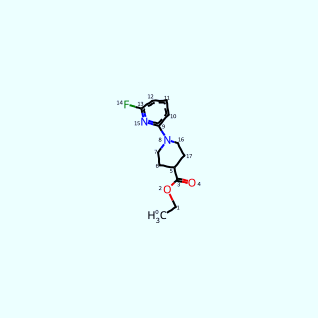 CCOC(=O)C1CCN(c2cccc(F)n2)CC1